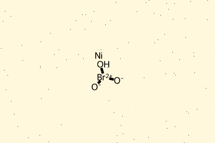 [Ni].[O-][Br+2]([O-])O